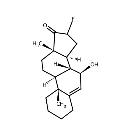 C[C@]12CCCCC1=C[C@H](O)[C@@H]1[C@@H]2CC[C@]2(C)C(=O)C(F)C[C@@H]12